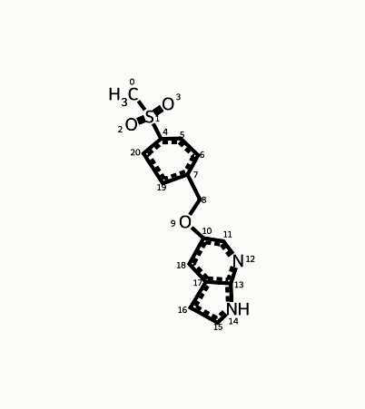 CS(=O)(=O)c1ccc(COc2cnc3[nH]ccc3c2)cc1